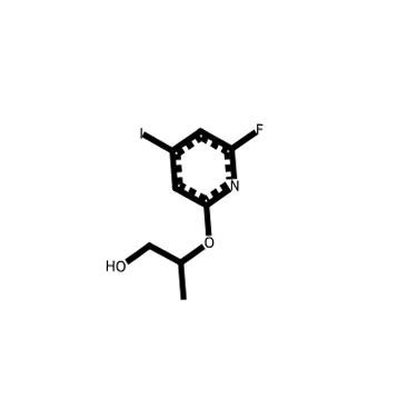 CC(CO)Oc1cc(I)cc(F)n1